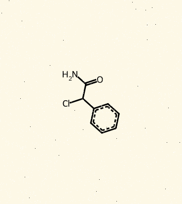 NC(=O)C(Cl)c1ccccc1